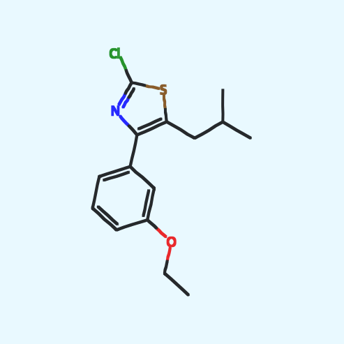 CCOc1cccc(-c2nc(Cl)sc2CC(C)C)c1